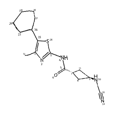 Cc1nc(NC(=O)[C@H]2C[C@H](NC#N)C2)sc1C1CCCCC1